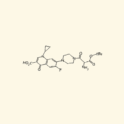 CC(C)(C)OC(=O)C(N)C(=O)N1CCN(c2cc3c(cc2F)c(=O)c(C(=O)O)cn3C2CC2)CC1